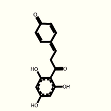 O=C1C=CC(=CCC(=O)c2c(O)cc(O)cc2O)C=C1